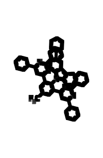 FC(F)(F)c1cc(-c2cc(-c3ccccc3)nc(-c3ccccc3)n2)c(-n2c3ccccc3c3cc(-c4ccccc4)ccc32)c(-c2cc(-c3ccccc3)nc(-c3ccccc3)n2)c1